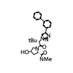 CNC(=O)[C@@H]1C[C@@H](O)CN1C(=O)[C@@H](n1cc(-c2cccc(-c3ccccc3)c2)nn1)C(C)(C)C